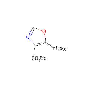 CCCCCCc1ocnc1C(=O)OCC